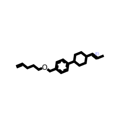 C=CCCCOCc1ccc(C2CCC(/C=C/C)CC2)cc1